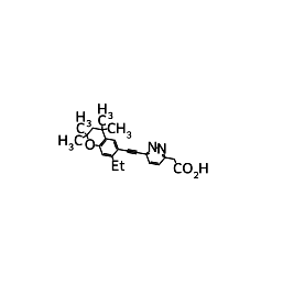 CCc1cc2c(cc1C#Cc1ccc(CC(=O)O)nn1)C(C)(C)CC(C)(C)O2